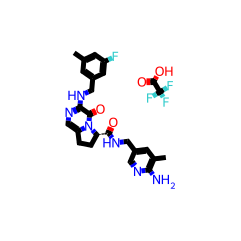 Cc1cc(F)cc(CNc2ncc3n(c2=O)[C@H](C(=O)NCc2cnc(N)c(C)c2)CC3)c1.O=C(O)C(F)(F)F